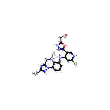 Cc1nc2n(n1)-c1cccc(Nc3cc(Cl)ncc3-c3nnc(CO)o3)c1N(C)C2